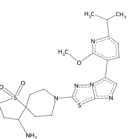 COc1nc(C(C)C)ccc1-c1cnc2sc(N3CCC4(CC3)C(N)CCS4(=O)=O)nn12